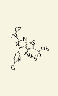 CC(=O)c1sc2nc(NC3CC3)nc(-c3ccc(Cl)nc3)c2c1N